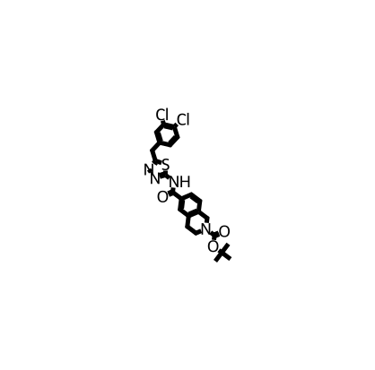 CC(C)(C)OC(=O)N1CCc2cc(C(=O)Nc3nnc(Cc4ccc(Cl)c(Cl)c4)s3)ccc2C1